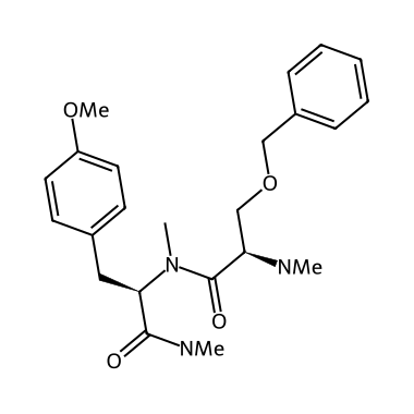 CNC(=O)[C@@H](Cc1ccc(OC)cc1)N(C)C(=O)[C@@H](COCc1ccccc1)NC